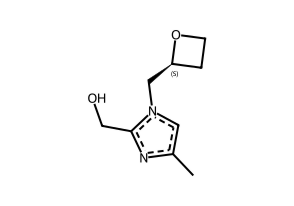 Cc1cn(C[C@@H]2CCO2)c(CO)n1